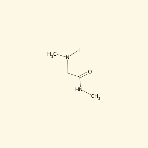 CNC(=O)CN(C)I